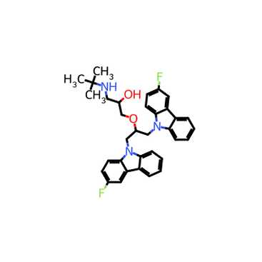 CC(C)(C)NCC(O)COC(Cn1c2ccccc2c2cc(F)ccc21)Cn1c2ccccc2c2cc(F)ccc21